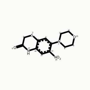 O=C1CSc2cc(N3CCOCC3)c([N+](=O)[O-])cc2N1